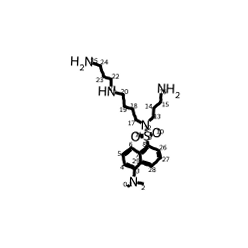 CN(C)c1cccc2c(S(=O)(=O)N(CCCN)CCCCNCCCN)cccc12